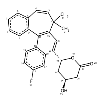 CC1(C)C=Cc2ccccc2C(c2ccc(F)cc2)=C1C=C[C@H]1C[C@H](O)CC(=O)O1